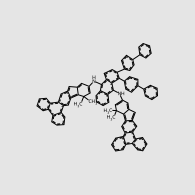 CC1(C)C=C(Nc2c3ccccc3c(NC3=CC(C)(C)C4=c5cc6c7ccccc7c7ccccc7c6cc5=CC4=C3)c3c(-c4ccc(-c5ccccc5)cc4)c(-c4ccc(-c5ccccc5)cc4)ccc23)C=C2C=c3cc4c5ccccc5c5ccccc5c4cc3=C21